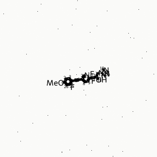 COc1ccc(C#Cc2ccc(C(F)(F)C(O)Cn3cnnn3)nc2)c(F)c1